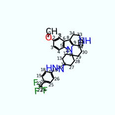 COc1ccc2c(c1)c1c3n2C2(CCC(=NNc4ccc(C(F)(F)F)cc4)CC2)CC[C@@H]3NCC1